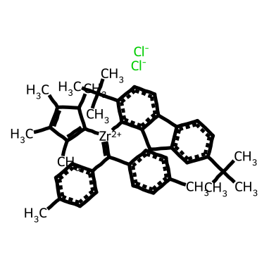 CC1=C(C)C(C)[C]([Zr+2](=[C](c2ccc(C)cc2)c2ccc(C)cc2)[c]2c(C(C)(C)C)ccc3c2Cc2cc(C(C)(C)C)ccc2-3)=C1C.[Cl-].[Cl-]